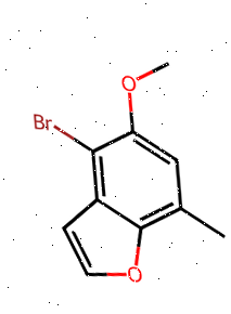 COc1cc(C)c2occc2c1Br